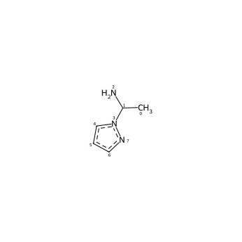 CC(N)n1cccn1